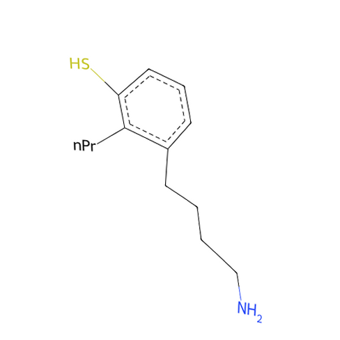 CCCc1c(S)cccc1CCCCN